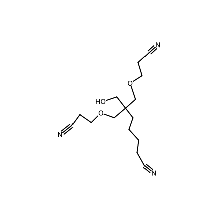 N#CCCCCC(CO)(COCCC#N)COCCC#N